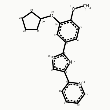 COc1ccc(-c2nc(-c3ccccn3)cs2)cc1OC1CCCC1